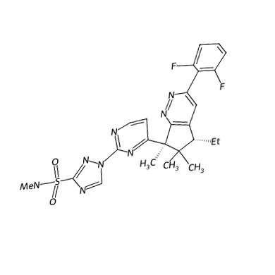 CC[C@H]1c2cc(-c3c(F)cccc3F)nnc2[C@](C)(c2ccnc(-n3cnc(S(=O)(=O)NC)n3)n2)C1(C)C